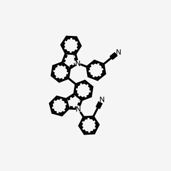 N#Cc1cccc(-n2c3ccccc3c3cccc(-c4cccc5c4c4ccccc4n5-c4ccccc4C#N)c32)c1